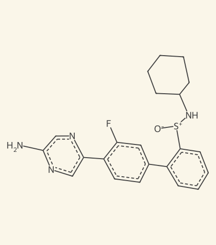 Nc1cnc(-c2ccc(-c3ccccc3[S+]([O-])NC3CCCCC3)cc2F)cn1